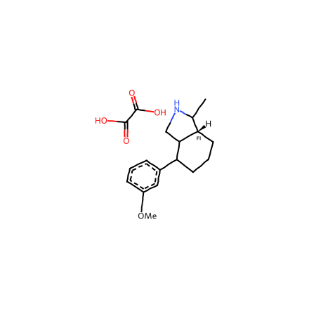 COc1cccc(C2CCC[C@H]3C(C)NCC23)c1.O=C(O)C(=O)O